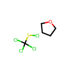 C1CCOC1.ClSC(Cl)(Cl)Cl